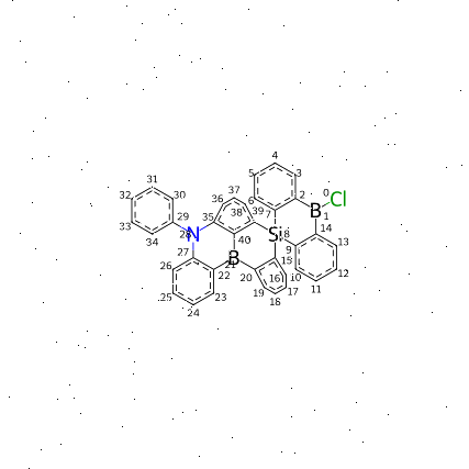 ClB1c2ccccc2[Si]2(c3ccccc31)c1ccccc1B1c3ccccc3N(c3ccccc3)c3cccc2c31